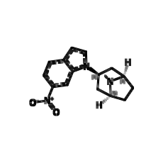 CN1[C@@H]2CC[C@H]1C[C@@H](n1ccc3ccc([N+](=O)[O-])cc31)C2